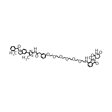 Cc1ccccc1C(=O)N1CCc2cc(-c3nc(NC(=O)Cc4cccc(OCCOCCOCCOCCOCCOCCNc5cccc6c5C(=O)N(C5CCC(=O)NC5=O)C6=O)c4)sc3C)ccc21